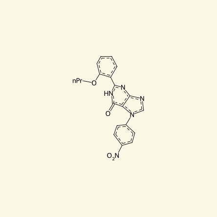 CCCOc1ccccc1-c1nc2ncn(-c3ccc([N+](=O)[O-])cc3)c2c(=O)[nH]1